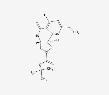 CCc1cc(F)c2c(c1)[C@H]1CN(C(=O)OC(C)(C)C)C[C@@H]1NC2=O